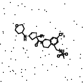 CC(C)[C@]1(C(=O)N2CCc3c(CNS(C)(=O)=O)cc(C(F)(F)F)cc3C2)CC[C@@H](NC2CCOCC2)C1